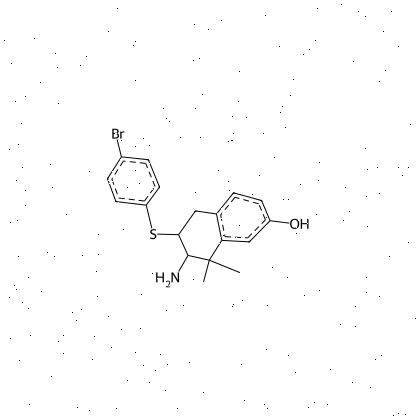 CC1(C)c2cc(O)ccc2CC(Sc2ccc(Br)cc2)C1N